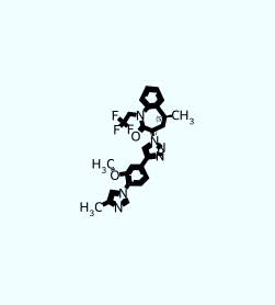 COc1cc(-c2cn([C@@H]3C[C@H](C)c4ccccc4N(CC(F)(F)F)C3=O)nn2)ccc1-n1cnc(C)c1